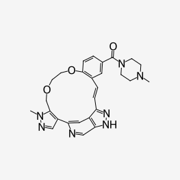 CN1CCN(C(=O)c2ccc3c(c2)/C=C/c2n[nH]c4cnc(cc24)-c2cnn(C)c2COCCO3)CC1